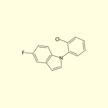 Fc1ccc2c(ccn2-c2ccccc2Cl)c1